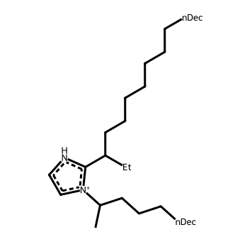 CCCCCCCCCCCCCCCCCC(CC)c1[nH]cc[n+]1C(C)CCCCCCCCCCCCC